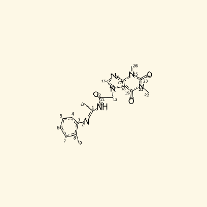 C/C(=N\c1ccccc1C)NC(=O)Cn1cnc2c1c(=O)n(C)c(=O)n2C